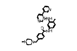 Cc1ccc(NC(=O)c2ccc(CN3CCN(C)CC3)cc2)cc1NN1CN=CC=C1c1cccnc1